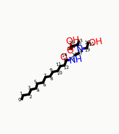 CCCCCCCCCCCCCC(=O)NCCN(CCO)C(C)C(=O)O